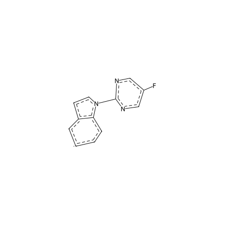 Fc1cnc(-n2ccc3c[c]ccc32)nc1